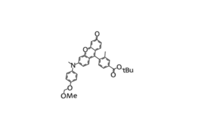 COCOc1ccc(N(C)c2ccc3c(-c4ccc(C(=O)OC(C)(C)C)cc4C)c4ccc(=O)cc-4oc3c2)cc1